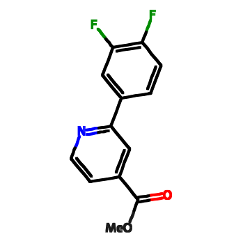 COC(=O)c1ccnc(-c2ccc(F)c(F)c2)c1